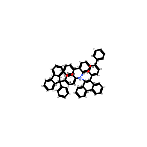 c1ccc(-c2ccc(-c3c(N(c4ccc(C5(c6ccccc6)c6ccccc6-c6ccccc65)cc4)c4ccccc4-c4ccccc4)c4ccccc4c4ccccc34)cc2)cc1